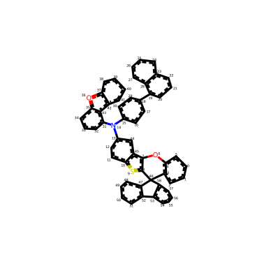 c1ccc2c(c1)Oc1c(sc3ccc(N(c4ccc(-c5cccc6ccccc56)cc4)c4cccc5oc6ccccc6c45)cc13)C21c2ccccc2-c2ccccc21